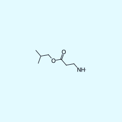 CC(C)COC(=O)CC[NH]